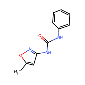 Cc1cc(NC(=O)Nc2ccccc2)no1